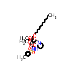 CCCCCCCCCCCCOC[C@@]12O[C@@H](CN3CCCCCC3)[C@@H](OC(=O)NS(=O)(=O)c3ccc(C)cc3)[C@@H]1OC(C)(C)O2